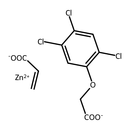 C=CC(=O)[O-].O=C([O-])COc1cc(Cl)c(Cl)cc1Cl.[Zn+2]